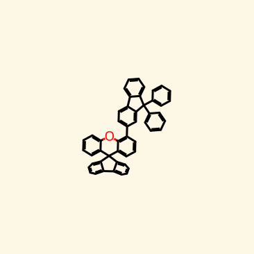 c1ccc(C2(c3ccccc3)c3ccccc3-c3ccc(-c4cccc5c4Oc4ccccc4C54c5ccccc5-c5ccccc54)cc32)cc1